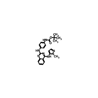 Cn1nccc1Nc1nc(Nc2ccc(NC(=O)OC(C)(C)C)cc2)nc2ccccc12